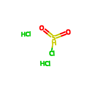 Cl.Cl.O=[SH](=O)Cl